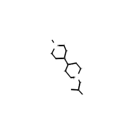 CC(C)CN1CCC(C2CCN(C)CC2)CC1